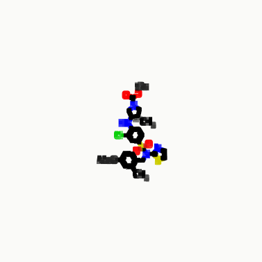 COc1ccc(CN(c2nccs2)S(=O)(=O)c2ccc(NC3CN(C(=O)OC(C)(C)C)C[C@@H]3C)c(Cl)c2)c(C)c1